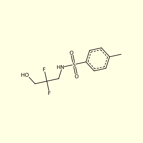 Cc1ccc(S(=O)(=O)NCC(F)(F)CO)cc1